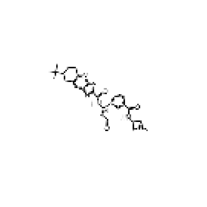 CN1CC(NC(=O)c2cccc([C@@H](CC=O)NC(=O)c3nc4cc5c(nc4s3)CCC(C(C)(C)C)C5)c2)C1